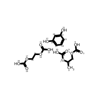 CC(COC(=O)O)OC(=O)O.O=C(O)OCCOC(=O)O.Oc1cccc(O)c1